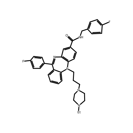 CCN1CCN(CCCN2c3ccc(C(=O)NCc4ccc(F)cc4)cc3N=C(c3ccc(F)cc3)c3ccccc32)CC1